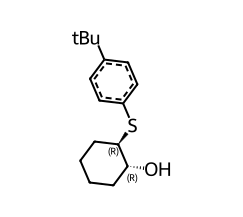 CC(C)(C)c1ccc(S[C@@H]2CCCC[C@H]2O)cc1